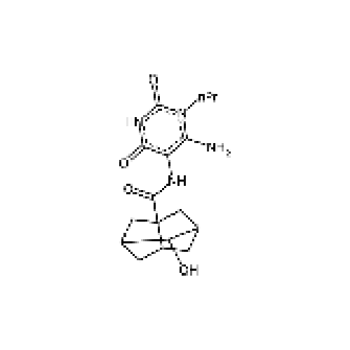 CCCn1c(N)c(NC(=O)C23CC4CC2CC(C3)C4O)c(=O)[nH]c1=O